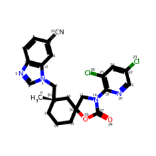 C[C@]1(Cn2cnc3ccc(C#N)cc32)CCCC2(CN(c3ncc(Cl)cc3Cl)C(=O)O2)C1